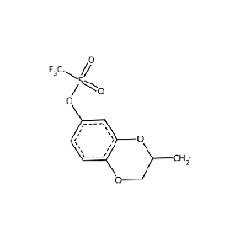 [CH2]C1COc2ccc(OS(=O)(=O)C(F)(F)F)cc2O1